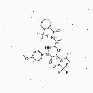 COc1ccc([C@H](NC(=O)[C@H](C)NC(=O)c2ccccc2C(F)(F)F)C(=O)N[C@H](C(=O)C(F)(F)F)C(C)C)cc1